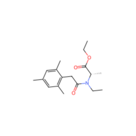 CCOC(=O)[C@H](C)N(CC)C(=O)Cc1c(C)cc(C)cc1C